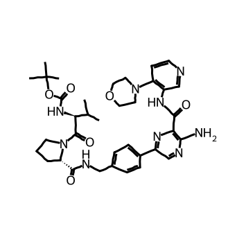 CC(C)[C@H](NC(=O)OC(C)(C)C)C(=O)N1CCC[C@H]1C(=O)NCc1ccc(-c2cnc(N)c(C(=O)Nc3cnccc3N3CCOCC3)n2)cc1